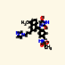 Cc1cccc2c(C(c3ccc(CNS(C)(=O)=O)cc3)N3CC(=O)NC3=O)cc(CCCn3ccnc3)cc12